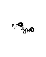 CN(Sc1cccc(C(F)(F)F)c1)C(=O)ON=C1SC2CCC1CC2